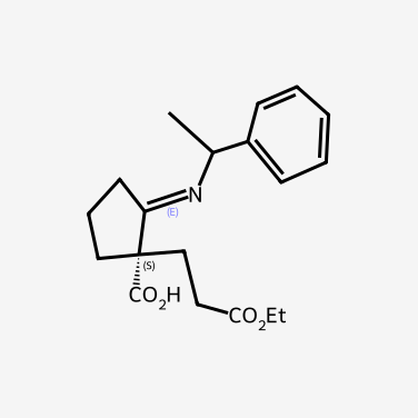 CCOC(=O)CC[C@@]1(C(=O)O)CCC/C1=N\C(C)c1ccccc1